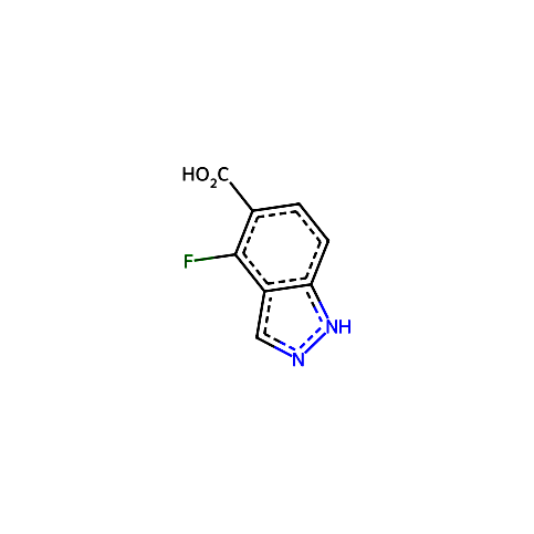 O=C(O)c1ccc2[nH]ncc2c1F